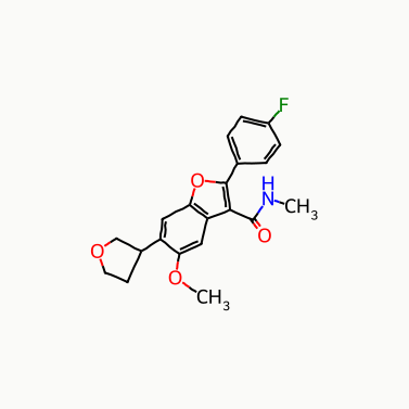 CNC(=O)c1c(-c2ccc(F)cc2)oc2cc(C3CCOC3)c(OC)cc12